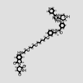 C[C@@H](NC(=O)c1cccc(NC2(c3nnc(-c4ccncc4)[nH]3)CCNCC2)c1)c1cccc(OCCCCCOCCCOCCNc2ccc3c(c2)CN(C2CCC(=O)NC2=O)C3=O)c1